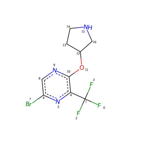 FC(F)(F)c1nc(Br)cnc1OC1CCNC1